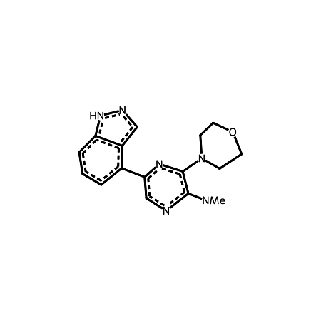 CNc1ncc(-c2cccc3[nH]ncc23)nc1N1CCOCC1